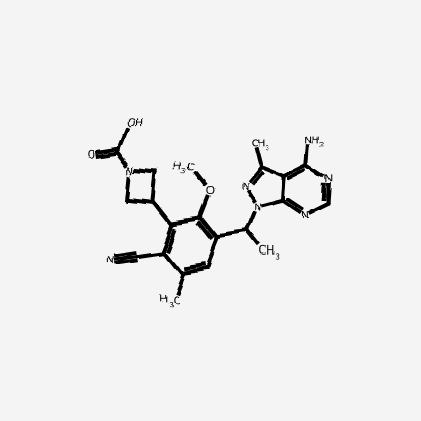 COc1c(C(C)n2nc(C)c3c(N)ncnc32)cc(C)c(C#N)c1C1CN(C(=O)O)C1